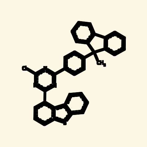 CC1(c2ccc(-c3nc(Cl)nc(-c4cccc5sc6ccccc6c45)n3)cc2)c2ccccc2-c2ccccc21